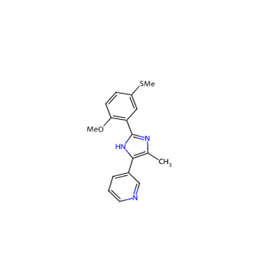 COc1ccc(SC)cc1-c1nc(C)c(-c2cccnc2)[nH]1